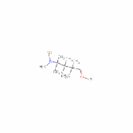 CC(C)OCC(C)(C)C(C)(C)C(C)(C)N(C)S